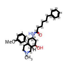 COc1cccc([C@@]23CCN(C)C[C@H]2C(O)C[C@H](NC(=O)CCCCCc2ccccc2)C3)c1